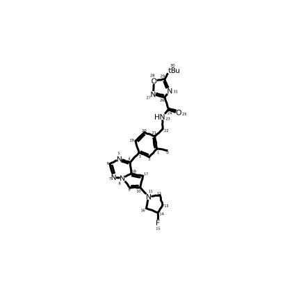 Cc1cc(-c2ncnn3cc(N4CCC(F)C4)cc23)ccc1CNC(=O)c1noc(C(C)(C)C)n1